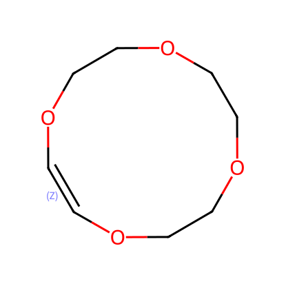 C1=C\OCCOCCOCCO/1